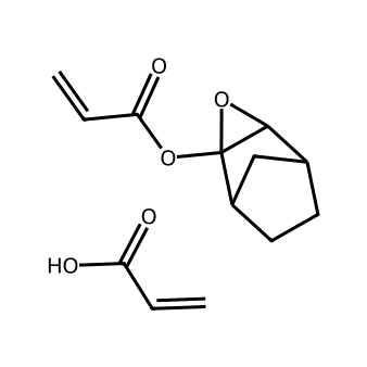 C=CC(=O)O.C=CC(=O)OC12OC1C1CCC2C1